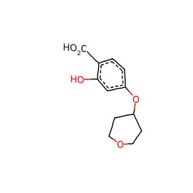 O=C(O)c1ccc(OC2CCOCC2)cc1O